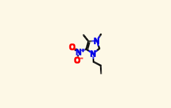 CCCN1CN(C)C(C)=C1[N+](=O)[O-]